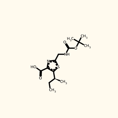 CC[C@H](C)c1sc(CNC(=O)OC(C)(C)C)nc1C(=O)O